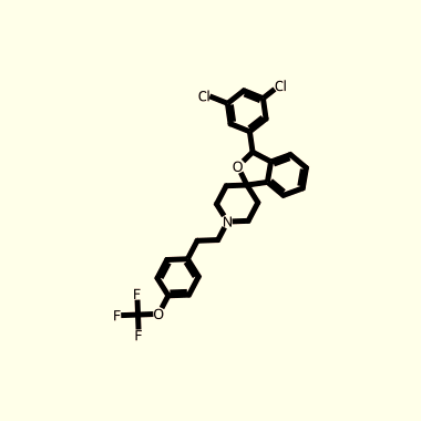 FC(F)(F)Oc1ccc(CCN2CCC3(CC2)OC(c2cc(Cl)cc(Cl)c2)c2ccccc23)cc1